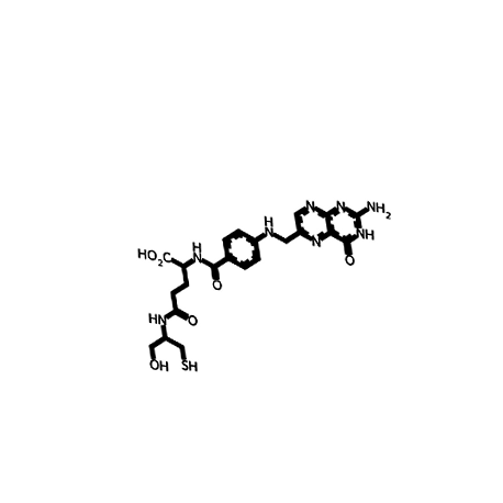 Nc1nc2ncc(CNc3ccc(C(=O)NC(CCC(=O)NC(CO)CS)C(=O)O)cc3)nc2c(=O)[nH]1